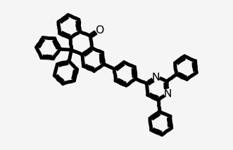 O=C1c2ccccc2C(c2ccccc2)(c2ccccc2)c2ccc(-c3ccc(-c4cc(-c5ccccc5)nc(-c5ccccc5)n4)cc3)cc21